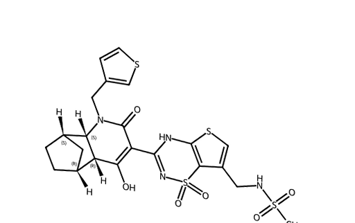 CS(=O)(=O)NCc1csc2c1S(=O)(=O)N=C(C1=C(O)[C@@H]3[C@@H]4CC[C@@H](C4)[C@@H]3N(Cc3ccsc3)C1=O)N2